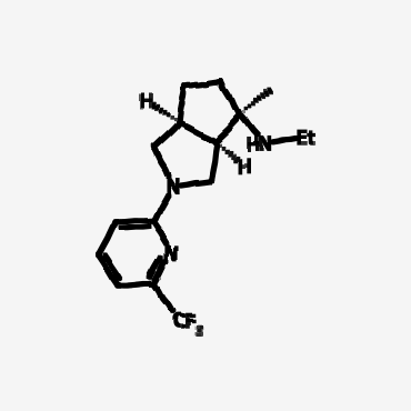 CCN[C@]1(C)CC[C@@H]2CN(c3cccc(C(F)(F)F)n3)C[C@@H]21